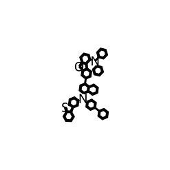 c1ccc(-c2ccc(N(c3ccc4sc5ccccc5c4c3)c3ccc(-c4ccc5c(c4)oc4cccc(N(c6ccccc6)c6ccccc6)c45)c4ccccc34)cc2)cc1